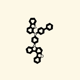 c1ccc(-c2ccc(N(c3ccc(-n4c5ccccc5c5c6c(ccc54)oc4ccccc46)cc3)c3cccc4c3sc3ccccc34)cc2)cc1